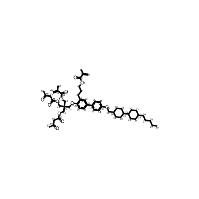 C=C(C)C(=O)OCCCc1cc(-c2ccc(OCC3CCC(C4CCC(CCCCC)CC4)CC3)cc2)ccc1OCC(COC(=O)CC(C)=O)(COC(=O)CC(C)=O)COC(=O)C(=C)C